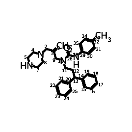 C=C(CN1CCNCC1)CN(CCC(c1ccccc1)c1ccccc1)C(=O)Nc1ccc(C)cc1